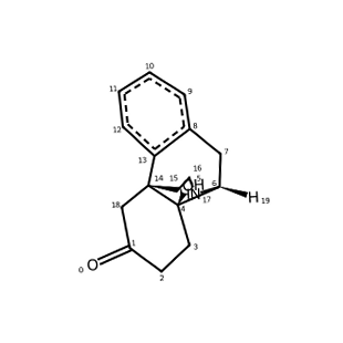 O=C1CC[C@@]2(O)[C@H]3Cc4ccccc4[C@@]2(CCN3)C1